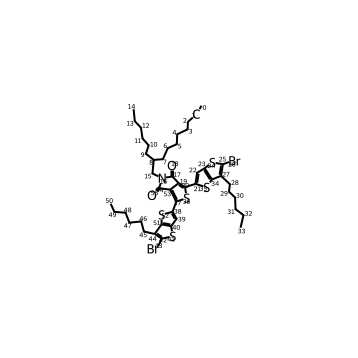 CCCCCCCCC(CCCCCC)CN1C(=O)c2c(-c3cc4sc(Br)c(CCCCCC)c4s3)sc(-c3cc4sc(Br)c(CCCCCC)c4s3)c2C1=O